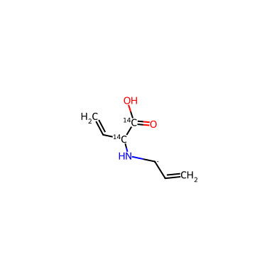 C=C[CH]N[14CH](C=C)[14C](=O)O